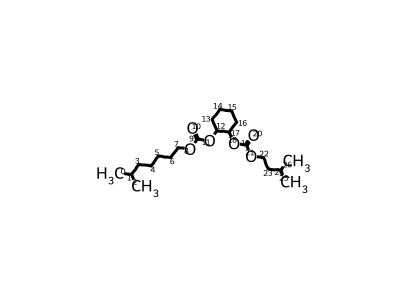 CC(C)CCCCCOC(=O)OC1CCCCC1OC(=O)OCCC(C)C